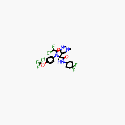 C=N/C=C(\C=N/C)[C@](C)(C(=O)NC1CCC(F)(F)CC1)N(C(=O)[C@H](F)Cl)c1ccc(OC(F)(F)Cl)cc1